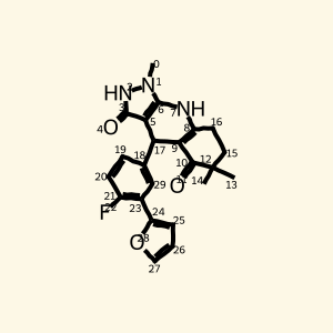 Cn1[nH]c(=O)c2c1NC1=C(C(=O)C(C)(C)CC1)C2c1ccc(F)c(-c2ccco2)c1